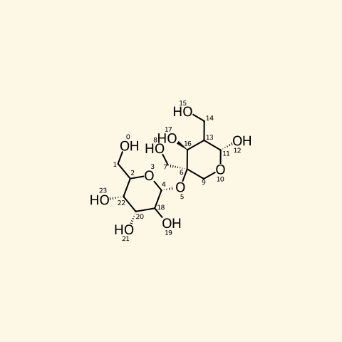 OCC1O[C@H](O[C@]2(CO)CO[C@@H](O)C(CO)[C@@H]2O)C(O)[C@H](O)[C@@H]1O